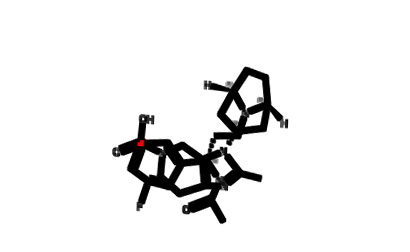 CC(=O)N[C@@H](CCN1[C@@H]2CC[C@H]1C[C@@H](n1c(C)nc3c1CN(C(=O)O)CC3)C2)c1cccc(F)c1